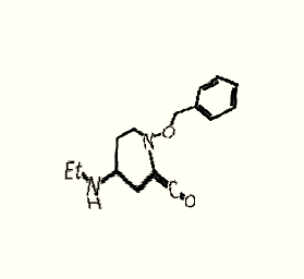 CCNC1CCN(OCc2ccccc2)C(=C=O)C1